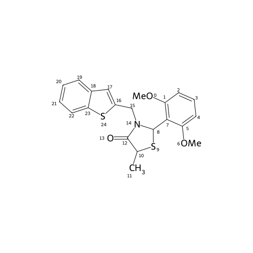 COc1cccc(OC)c1C1SC(C)C(=O)N1Cc1cc2ccccc2s1